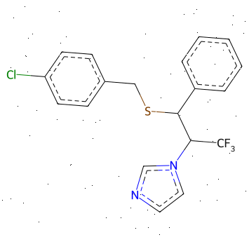 FC(F)(F)C(C(SCc1ccc(Cl)cc1)c1ccccc1)n1ccnc1